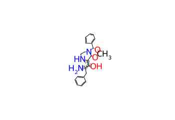 COC(c1ccccc1)N1CCN[C@@H]([C@@H](O)[C@@H](N)Cc2ccccc2)C1=O